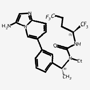 CCN(C(=O)N[C@@H](CCC(F)(F)F)C(F)(F)F)[C@H](C)c1cccc(-c2ccc3ncc(N)n3c2)c1